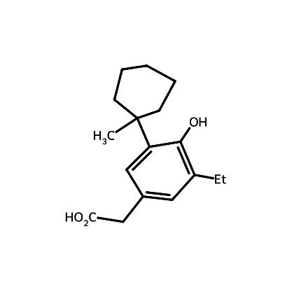 CCc1cc(CC(=O)O)cc(C2(C)CCCCC2)c1O